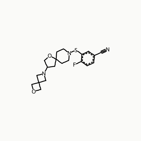 N#Cc1ccc(F)c(SN2CCC3(CC2)CC(N2CC4(COC4)C2)CO3)c1